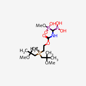 COC(C)(C)CS(C)(CCOC(=O)NC(P(O)O)P(=O)(O)OC)CC(C)(C)OC